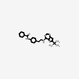 CC(C)(C)c1cc2ncnc(NCCc3ccc(NC(=O)c4ccccc4)cc3)c2s1